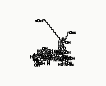 CCCCCCCC/C=C\CCCCCCCCCCCCCCCC(=O)N[C@@H](CO[C@@H]1OC(CO)[C@@H](O[C@@H]2OC(CO)[C@H](O[C@@H]3OC(CO)[C@H](O)[C@H](O[C@@H]4OC(CO)[C@H](O[C@@H]5OC(CO)[C@H](O)[C@H](O)C5NC(C)=O)[C@H](O[C@]5(C(=O)O)CC(O)[C@@H](NC(=O)CO)C([C@H](O)[C@H](O)CO)O5)C4O)C3NC(C)=O)[C@H](O[C@]3(C(=O)O)CC(O)[C@@H](NC(C)=O)C([C@H](O)[C@H](O)CO)O3)C2O)[C@H](O)C1O)[C@H](O)/C=C/CCCCCCCCCCCCC